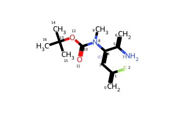 C=C(F)/C=C(\C(=C)N)N(C)C(=O)OC(C)(C)C